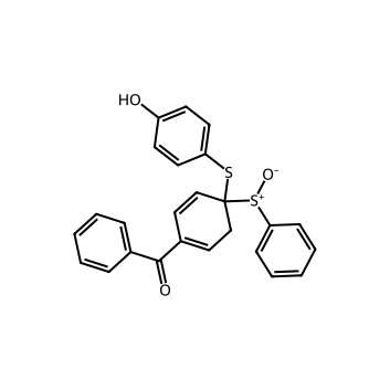 O=C(C1=CCC(Sc2ccc(O)cc2)([S+]([O-])c2ccccc2)C=C1)c1ccccc1